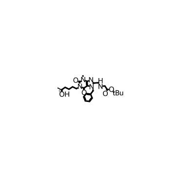 C[C@H](O)CCCCn1c(=O)c2c(nc(CNCC(=O)OC(C)(C)C)n2Cc2ccccc2)n(C)c1=O